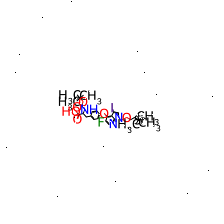 CC(C)(C)OC(=O)NC(Cc1ccc(Oc2ccnc3c2c(I)cn3COCC[Si](C)(C)C)c(F)c1)C(=O)O